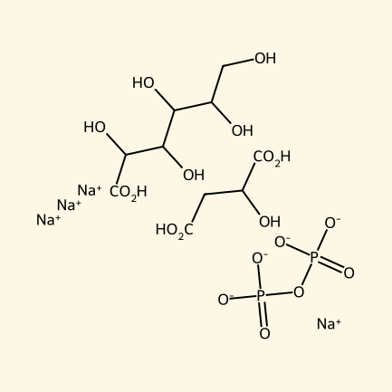 O=C(O)C(O)C(O)C(O)C(O)CO.O=C(O)CC(O)C(=O)O.O=P([O-])([O-])OP(=O)([O-])[O-].[Na+].[Na+].[Na+].[Na+]